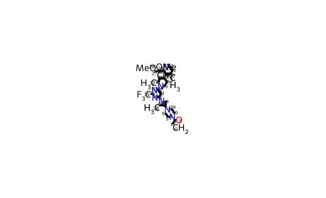 C=CC(=O)N1CCN([C@@H]2CN(c3cc(N4CC[C@H](c5c(C)ccnc5C(C)(COC)OC)C[C@H]4C)nc(C(F)(F)F)n3)[C@@H]2C)CC1